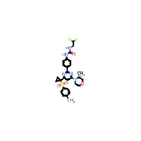 Cc1ccc(S(=O)(=O)C2(c3cc(N4CCOC[C@@H]4C)nc(-c4ccc(NC(=O)NCC(F)F)cc4)n3)CC2)cc1